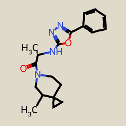 CC1CN(C(=O)[C@H](C)Nc2nnc(-c3ccccc3)o2)CCC12CC2